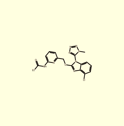 CCC(=O)Nc1cccc(COc2nc3c(Cl)cccc3n2-c2nnnn2C)n1